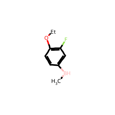 CBc1ccc(OCC)c(F)c1